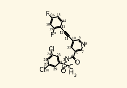 CS(=O)(=NC(=O)c1cncc(C#Cc2ccc(F)cc2F)c1)c1cc(Cl)cc(Cl)c1